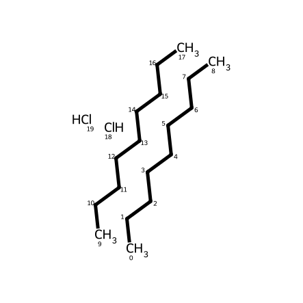 CCCCCCCCC.CCCCCCCCC.Cl.Cl